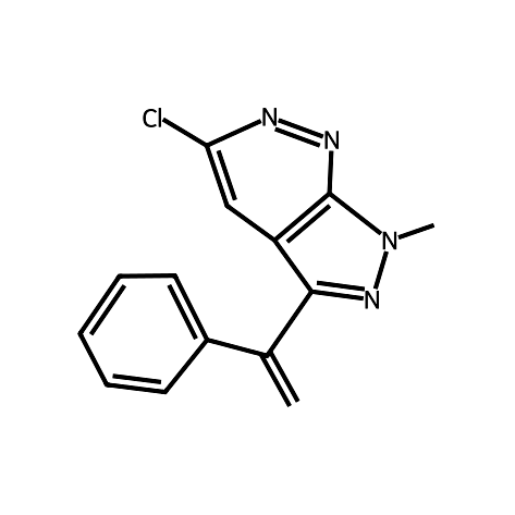 C=C(c1ccccc1)c1nn(C)c2nnc(Cl)cc12